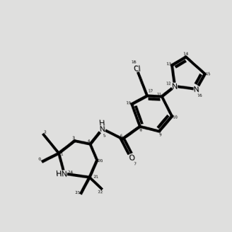 CC1(C)CC(NC(=O)c2ccc(-n3cccn3)c(Cl)c2)CC(C)(C)N1